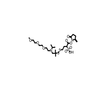 C=C1CCC(=O)N1OC(=O)C(CCSSC(C)(C)CN(CCOCCOCCOC)C(C)C)S(=O)(=O)O